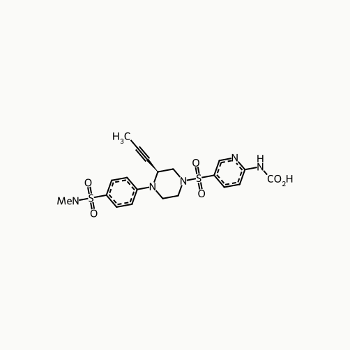 CC#C[C@H]1CN(S(=O)(=O)c2ccc(NC(=O)O)nc2)CCN1c1ccc(S(=O)(=O)NC)cc1